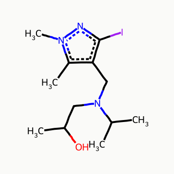 Cc1c(CN(CC(C)O)C(C)C)c(I)nn1C